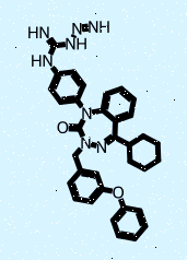 N=NNC(=N)Nc1ccc(N2C(=O)N(Cc3cccc(Oc4ccccc4)c3)N=C(C3CCCCC3)c3ccccc32)cc1